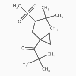 CC(C)(C)C(=O)C1(CN(C(C)(C)C)S(C)(=O)=O)CC1